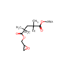 CCCCCCOC(=O)C(C)(CC)CC(C)(C)C(=O)OCC1CO1